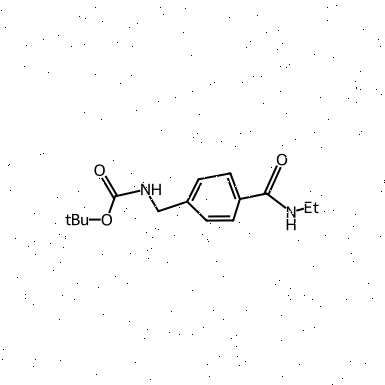 CCNC(=O)c1ccc(CNC(=O)OC(C)(C)C)cc1